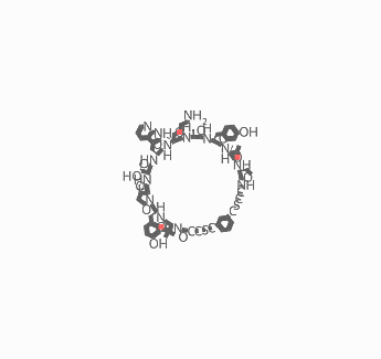 CC[C@@H]1NC(=O)[C@](C)(C(C)C)NC(=O)[C@H](Cc2ccc(O)cc2)NC(=O)[C@H](C)NC(=O)[C@](C)(CCCCN)NC(=O)[C@H](Cc2c[nH]c3ncccc23)NC(=O)[C@H]([C@@H](C)O)NC(=O)[C@@H]2CCCN2C(=O)[C@H](Cc2ccc(O)cc2)NC(=O)C(C(C)(C)C)NC(=O)CCSCc2cccc(c2)CSCCNC1=O